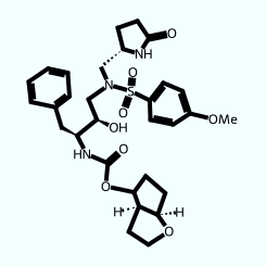 COc1ccc(S(=O)(=O)N(C[C@@H]2CCC(=O)N2)C[C@@H](O)[C@H](Cc2ccccc2)NC(=O)OC2CC[C@H]3OCC[C@@H]23)cc1